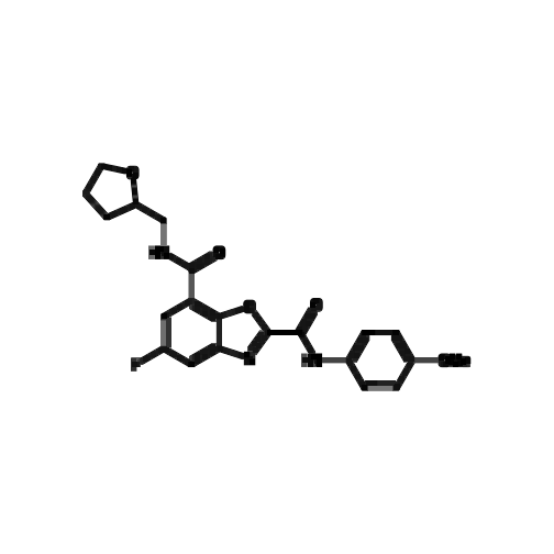 COc1ccc(NC(=O)c2nc3cc(F)cc(C(=O)NCC4CCCO4)c3o2)cc1